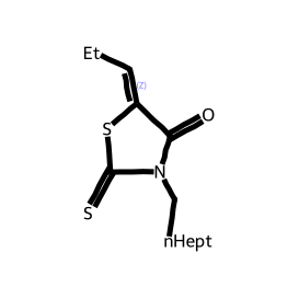 CC/C=C1\SC(=S)N(CCCCCCCC)C1=O